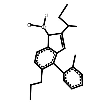 CCCc1ccc2c(c1-c1ccccc1C)C=C(C(C)CC)[CH]2[Zr]([Cl])[Cl]